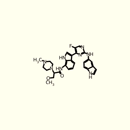 COCC(C(=O)Nc1cccc2c(-c3nc(Nc4ccc5[nH]ccc5c4)ncc3F)c[nH]c12)N1CCN(C)CC1